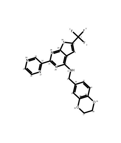 FC(F)(F)c1cc2c(NCc3ccc4c(c3)OCCO4)nc(-c3cnccn3)nc2s1